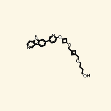 Cn1c2ccncc2c2ccc(-c3ccc(O[C@H]4C[C@H](OCC56CC(COCCCCO)(C5)C6)C4)nc3)cc21